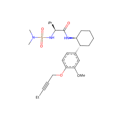 CCC#CCOc1ccc([C@H]2CCCC[C@@H]2NC(=O)[C@@H](NS(=O)(=O)N(C)C)C(C)C)cc1OC